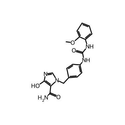 COc1ccccc1NC(=O)Nc1ccc(Cn2cnc(O)c2C(N)=O)cc1